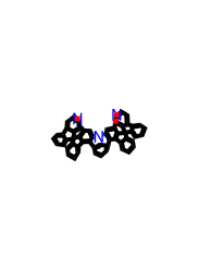 N#Cc1cc2c(c3c1C1(c4ccccc4-c4ccccc41)c1ccccc1-3)c1cccc3c4c5c(c(C#N)cc4n2c13)C1(c2ccccc2-c2ccccc21)c1ccccc1-5